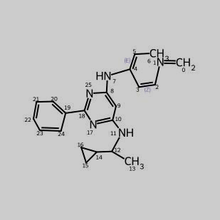 C=N/C=C\C(=C/C)Nc1cc(NC(C)C2CC2)nc(-c2ccccc2)n1